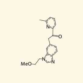 COCCn1cnc2ccc(CC(=O)c3cccc(C)n3)cc21